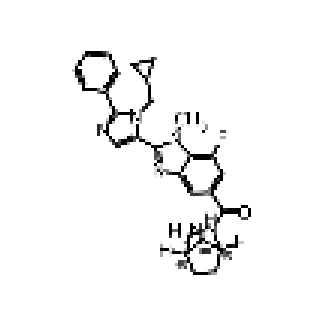 Cn1c(-c2cnc(-c3ccccc3)n2CC2CC2)nc2cc(C(=O)N3C[C@H]4CC[C@@H]3[C@@H]4N)cc(F)c21